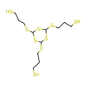 SCCCSC1SC(SCCCS)SC(SCCCS)S1